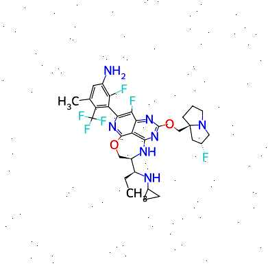 CC[C@H](NC1CC1)[C@H]1COc2nc(-c3c(F)c(N)cc(C)c3C(F)(F)F)c(F)c3nc(OC[C@@]45CCCN4C[C@H](F)C5)nc(c23)N1